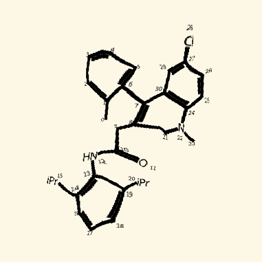 Cc1ccccc1C1=C(CC(=O)Nc2c(C(C)C)cccc2C(C)C)CN(C)c2ccc(Cl)cc21